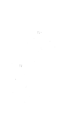 CCN1CC(C)(C)O[C@]2(CC[C@@H](N(C)CCc3ccccc3)CC2)C1